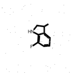 CC1CNc2c(F)cccc21